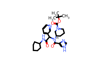 CC(C)(C)OC(=O)N1CCC[C@@H](N(C(=O)c2c[nH]cn2)C(C(=O)NC2CCCCC2)c2cccnc2)C1